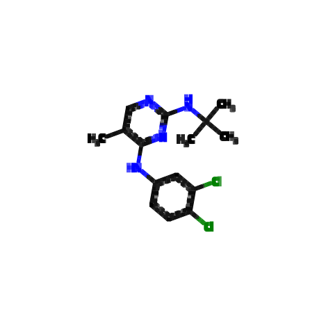 Cc1cnc(NC(C)(C)C)nc1Nc1ccc(Cl)c(Cl)c1